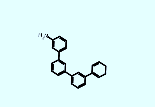 Nc1cccc(-c2cccc(-c3cccc(C4=CCCC=C4)c3)c2)c1